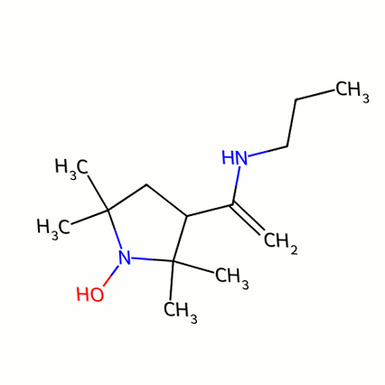 C=C(NCCC)C1CC(C)(C)N(O)C1(C)C